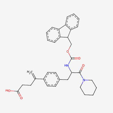 C=C(CCC(=O)O)c1ccc(CC(NC(=O)OCC2c3ccccc3-c3ccccc32)C(=O)N2CCCCC2)cc1